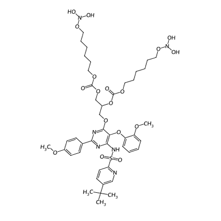 COc1ccc(-c2nc(NS(=O)(=O)c3ccc(C(C)(C)C)cn3)c(Oc3ccccc3OC)c(OCC(COC(=O)OCCCCCCON(O)O)OC(=O)OCCCCCCON(O)O)n2)cc1